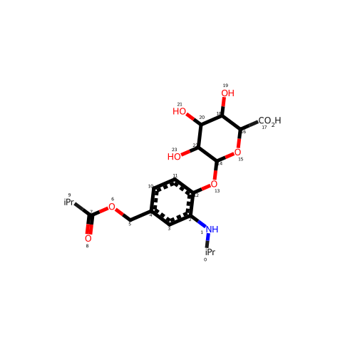 CC(C)Nc1cc(COC(=O)C(C)C)ccc1OC1OC(C(=O)O)C(O)C(O)C1O